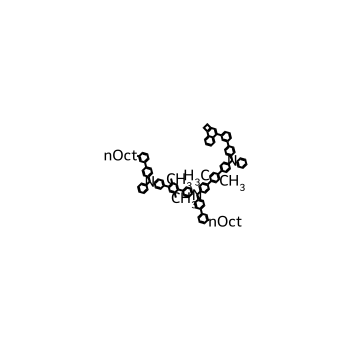 CCCCCCCCc1cccc(-c2ccc(N(c3ccccc3)c3ccc(-c4cc(C)c(-c5ccc(N(c6ccc(-c7cccc(CCCCCCCC)c7)cc6)c6ccc(-c7cc(C)c(-c8ccc(N(c9ccccc9)c9ccc(-c%10cccc(-c%11cc%12c(c%13ccccc%11%13)CC%12)c%10)cc9)cc8)cc7C)cc6)cc5)cc4C)cc3)cc2)c1